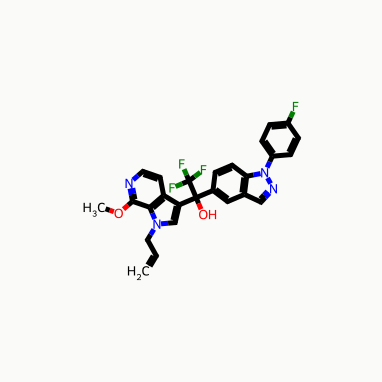 C=CCn1cc(C(O)(c2ccc3c(cnn3-c3ccc(F)cc3)c2)C(F)(F)F)c2ccnc(OC)c21